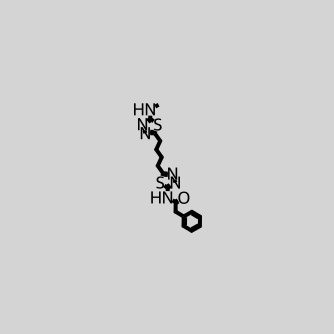 CNc1nnc(CCCCc2nnc(NC(=O)Cc3ccccc3)s2)s1